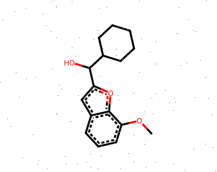 COc1cccc2cc(C(O)C3CCCCC3)oc12